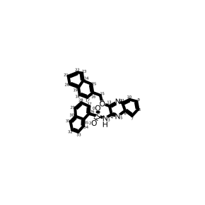 O=S(=O)(Nc1nc2ccccc2nc1OCc1ccc2ccccc2c1)c1cccc2ccccc12